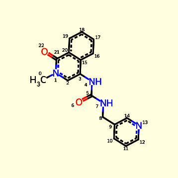 Cn1cc(NC(=O)NCc2cccnc2)c2ccccc2c1=O